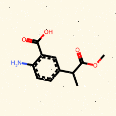 COC(=O)C(C)c1ccc(N)c(C(=O)O)c1